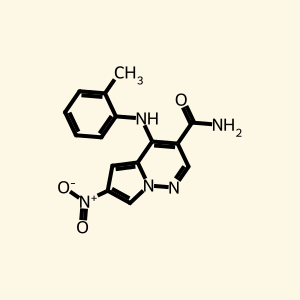 Cc1ccccc1Nc1c(C(N)=O)cnn2cc([N+](=O)[O-])cc12